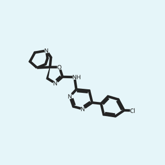 Clc1ccc(-c2cc(NC3=NC[C@@]4(CN5CCC4CC5)O3)ncn2)cc1